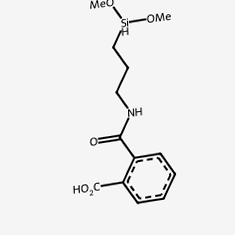 CO[SiH](CCCNC(=O)c1ccccc1C(=O)O)OC